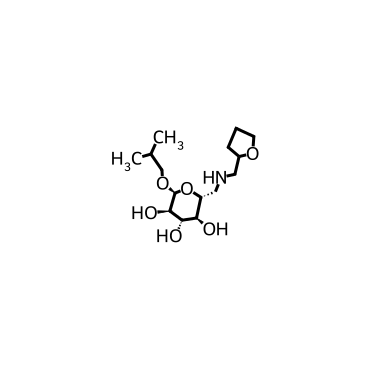 CC(C)CO[C@H]1O[C@H](CNCC2CCCO2)[C@@H](O)[C@H](O)[C@H]1O